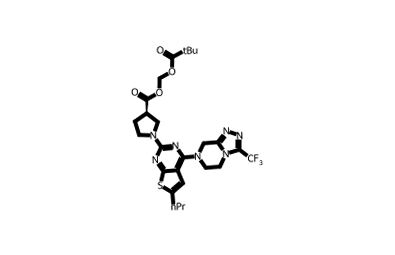 CCCc1cc2c(N3CCn4c(nnc4C(F)(F)F)C3)nc(N3CC[C@@H](C(=O)OCOC(=O)C(C)(C)C)C3)nc2s1